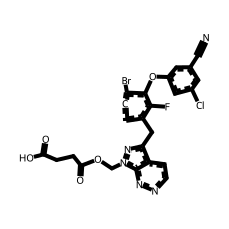 N#Cc1cc(Cl)cc(Oc2c(Br)ccc(Cc3nn(COC(=O)CCC(=O)O)c4nnccc34)c2F)c1